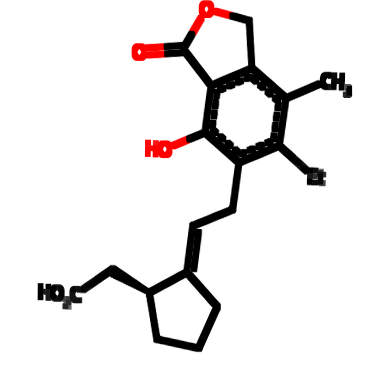 CCc1c(C)c2c(c(O)c1C/C=C1\CCC[C@H]1CC(=O)O)C(=O)OC2